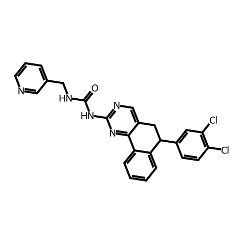 O=C(NCc1cccnc1)Nc1ncc2c(n1)-c1ccccc1C(c1ccc(Cl)c(Cl)c1)C2